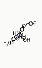 O=C(NCCO)/C(=C\c1ccc(OC(F)(F)F)cc1)NC(=O)c1ccc(OCCc2ccc(F)cc2)cc1